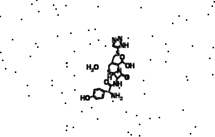 NC(C(=O)NC1C(=O)N2C(C(=O)O)=C(CSc3cnn[nH]3)CS[C@@H]12)c1ccc(O)cc1.O